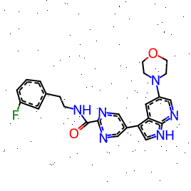 O=C(NCCc1cccc(F)c1)c1ncc(-c2c[nH]c3ncc(N4CCOCC4)cc23)cn1